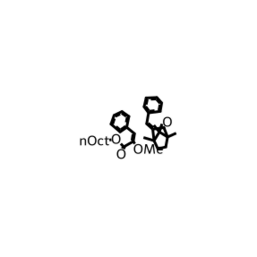 CC12CCC(C)(C(=Cc3ccccc3)C1=O)C2(C)C.CCCCCCCCOC(=O)C(=Cc1ccccc1)OC